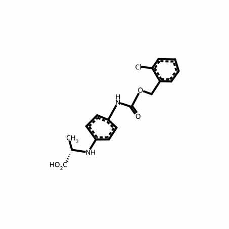 C[C@H](Nc1ccc(NC(=O)OCc2ccccc2Cl)cc1)C(=O)O